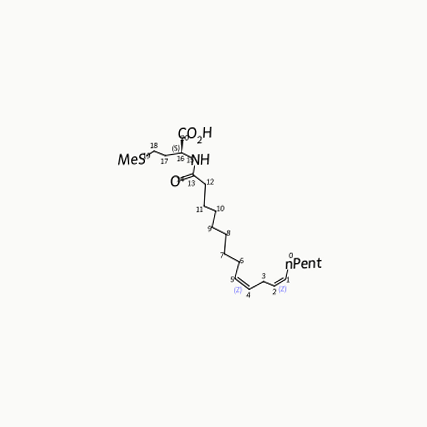 CCCCC/C=C\C/C=C\CCCCCCCC(=O)N[C@@H](CCSC)C(=O)O